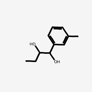 CCC(O)C(O)c1cccc(C)c1